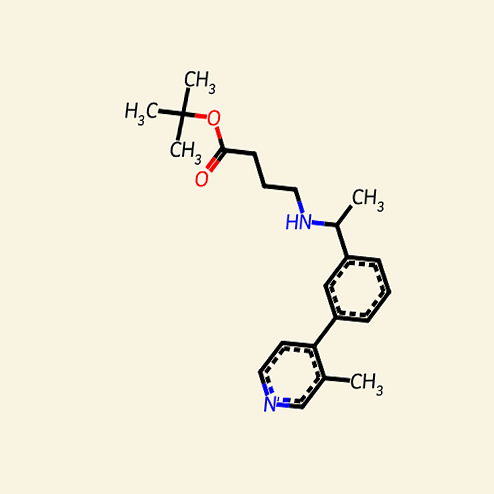 Cc1cnccc1-c1cccc(C(C)NCCCC(=O)OC(C)(C)C)c1